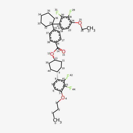 CCCCOc1ccc([C@H]2CC[C@H](OC(=O)c3ccc(C4(c5ccc(OCC)c(F)c5F)CCCCC4)cc3)CC2)c(F)c1F